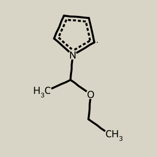 CCOC(C)n1[c]ccc1